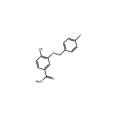 COC(=O)c1ccc(C#N)c(OCc2ccc(F)cc2)c1